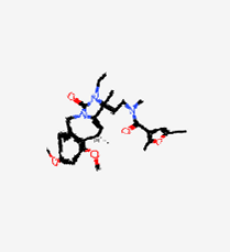 CCN1C(=O)N2Cc3cc(OC)cc(OC)c3[C@@H](C)C=C2C1(C)CCN(C)C(=O)c1cc(C)oc1C